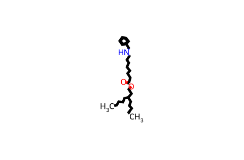 CCCCCC(CCCCC)CCOC(=O)CCCCCCCNCc1ccccc1